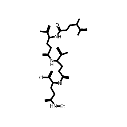 C=C(CCC(NC(=C)CCC(NC(=C)CCC(NC(=O)CCC(C)C(=C)C)C(=C)C)C(=C)C)C(=C)Cl)NCC